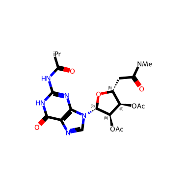 CNC(=O)C[C@H]1O[C@@H](n2cnc3c(=O)[nH]c(NC(=O)C(C)C)nc32)[C@H](OC(C)=O)[C@@H]1OC(C)=O